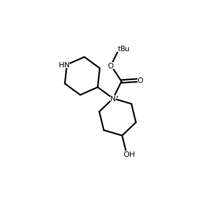 CC(C)(C)OC(=O)[N+]1(C2CCNCC2)CCC(O)CC1